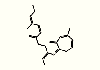 C=C(/C=C\C(C)=C/CC)CCC(=C/C)/N=C1/CC=CC(C)=CC1=C